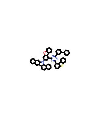 c1ccc(-c2cccc(-c3nc(-c4cc(-n5c6cc7ccccc7cc6c6ccc7ccccc7c65)cc5oc6ccccc6c45)nc(-c4cccc5sc6ccccc6c45)n3)c2)cc1